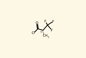 C[C@H](C(=O)Cl)C(F)(F)F